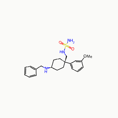 COc1cccc([C@]2(CNS(N)(=O)=O)CC[C@@H](NCc3ccccc3)CC2)c1